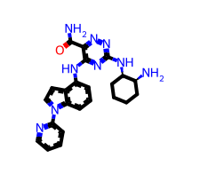 NC(=O)c1nnc(N[C@@H]2CCCC[C@@H]2N)nc1Nc1cccc2c1ccn2-c1ccccn1